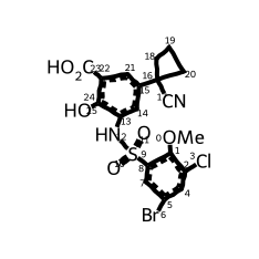 COc1c(Cl)cc(Br)cc1S(=O)(=O)Nc1cc(C2(C#N)CCC2)cc(C(=O)O)c1O